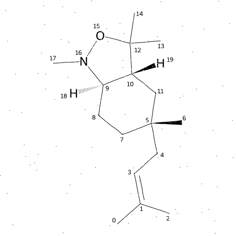 CC(C)=CC[C@]1(C)CC[C@@H]2[C@@H](C1)C(C)(C)ON2C